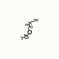 CC(C)C1COC(c2cccc(CC(=O)NC(C)(C)CCO)c2)=N1